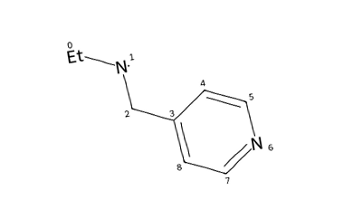 CC[N]Cc1ccncc1